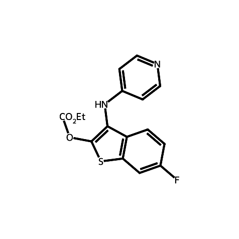 CCOC(=O)Oc1sc2cc(F)ccc2c1Nc1ccncc1